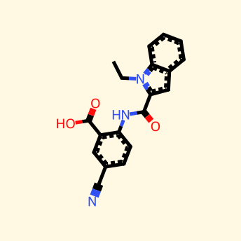 CCn1c(C(=O)Nc2ccc(C#N)cc2C(=O)O)cc2ccccc21